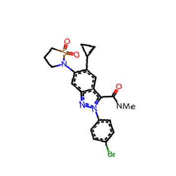 CNC(=O)c1c2cc(C3CC3)c(N3CCCS3(=O)=O)cc2nn1-c1ccc(Br)cc1